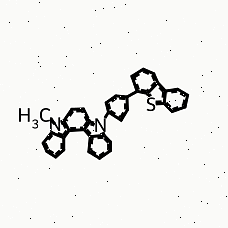 Cn1c2ccccc2c2c3c4ccccc4n(-c4ccc(-c5cccc6c5sc5ccccc56)cc4)c3ccc21